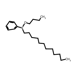 CCCCCCCCCCCCN(OCCCC)c1ccccc1